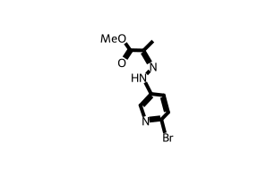 COC(=O)C(C)=NNc1ccc(Br)nc1